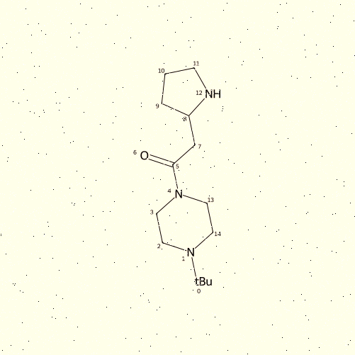 CC(C)(C)N1CCN(C(=O)CC2CCCN2)CC1